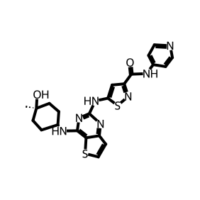 C[C@]1(O)CC[C@H](Nc2nc(Nc3cc(C(=O)Nc4ccncc4)ns3)nc3ccsc23)CC1